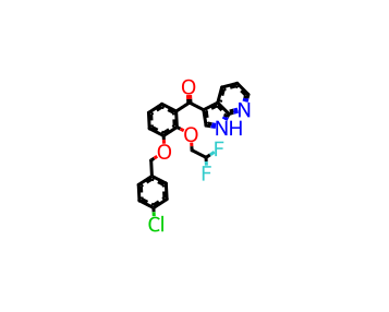 O=C(c1cccc(OCc2ccc(Cl)cc2)c1OCC(F)F)c1c[nH]c2ncccc12